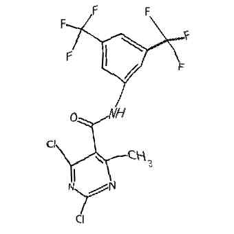 Cc1nc(Cl)nc(Cl)c1C(=O)Nc1cc(C(F)(F)F)cc(C(F)(F)F)c1